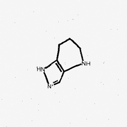 C1=[N+]NC2=C1NCCC2